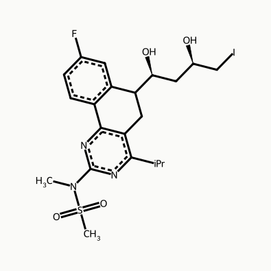 CC(C)c1nc(N(C)S(C)(=O)=O)nc2c1CC([C@@H](O)C[C@@H](O)CI)c1cc(F)ccc1-2